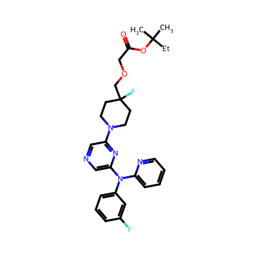 CCC(C)(C)OC(=O)COCC1(F)CCN(c2cncc(N(c3cccc(F)c3)c3ccccn3)n2)CC1